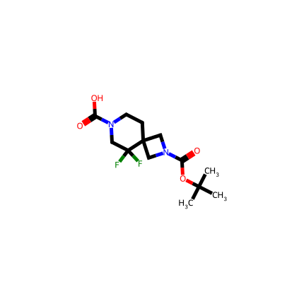 CC(C)(C)OC(=O)N1CC2(CCN(C(=O)O)CC2(F)F)C1